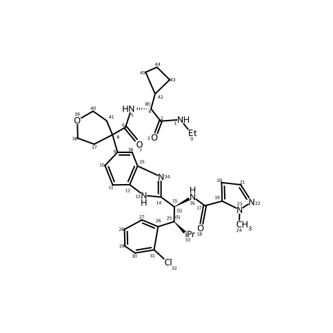 CCNC(=O)[C@H](NC(=O)C1(c2ccc3[nH]c([C@@H](NC(=O)c4ccnn4C)[C@H](c4ccccc4Cl)C(C)C)nc3c2)CCOCC1)C1CCC1